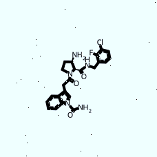 NC(=O)n1cc(CC(=O)N2CC[C@@H](N)[C@H]2C(=O)NCc2cccc(Cl)c2F)c2ccccc21